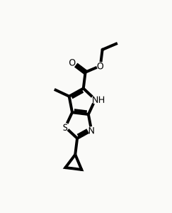 CCOC(=O)c1[nH]c2nc(C3CC3)sc2c1C